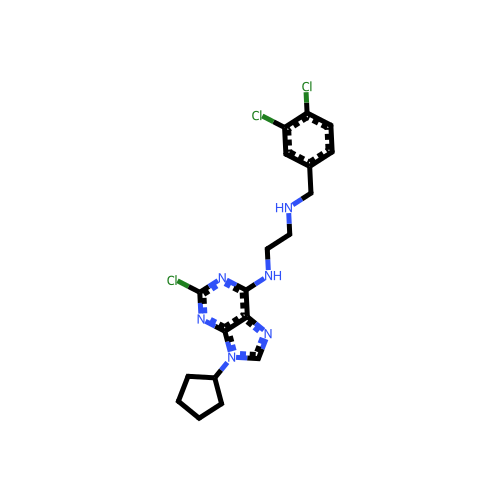 Clc1nc(NCCNCc2ccc(Cl)c(Cl)c2)c2ncn(C3CCCC3)c2n1